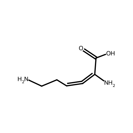 NCCC=C=C(N)C(=O)O